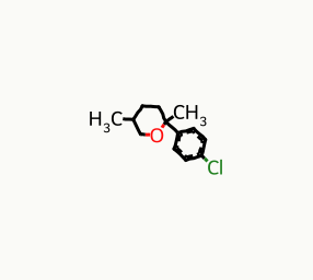 CC1CCC(C)(c2ccc(Cl)cc2)OC1